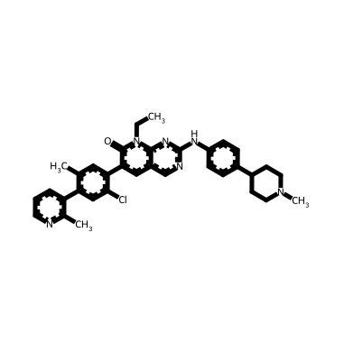 CCn1c(=O)c(-c2cc(C)c(-c3cccnc3C)cc2Cl)cc2cnc(Nc3ccc(C4CCN(C)CC4)cc3)nc21